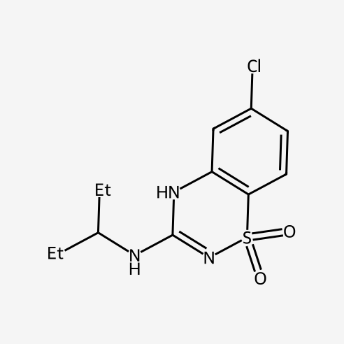 CCC(CC)NC1=NS(=O)(=O)c2ccc(Cl)cc2N1